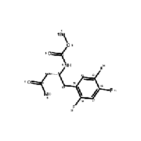 CC(C)(C)OC(=O)N[C@@H](CC([NH])=O)Cc1cc(F)c(F)cc1F